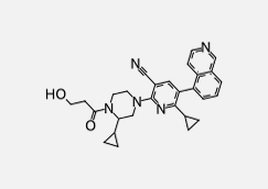 N#Cc1cc(-c2cccc3cnccc23)c(C2CC2)nc1N1CCN(C(=O)CCO)C(C2CC2)C1